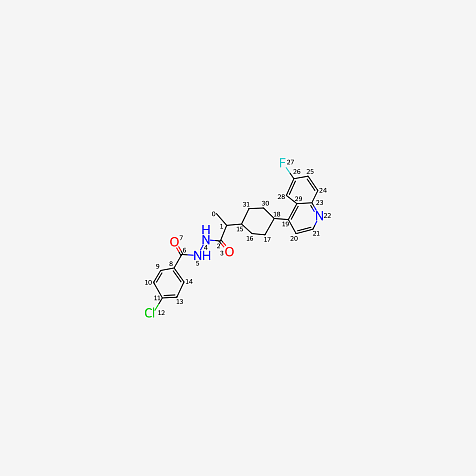 CC(C(=O)NNC(=O)c1ccc(Cl)cc1)C1CCC(c2ccnc3ccc(F)cc23)CC1